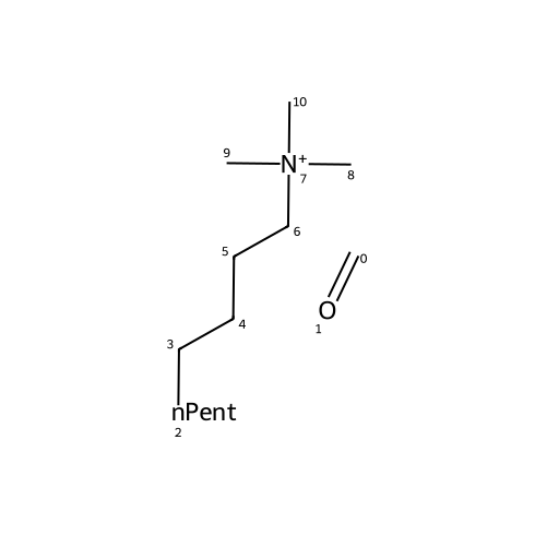 C=O.CCCCCCCCC[N+](C)(C)C